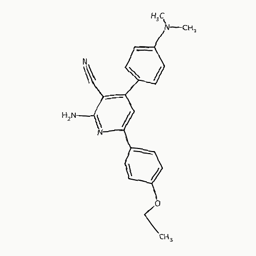 CCOc1ccc(-c2cc(-c3ccc(N(C)C)cc3)c(C#N)c(N)n2)cc1